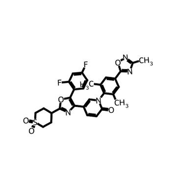 Cc1noc(-c2cc(C)c(-n3cc(-c4nc(C5CCS(=O)(=O)CC5)oc4-c4ccc(F)cc4F)ccc3=O)c(C)c2)n1